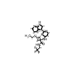 CCSN1CC(Nc2ccnc(-c3c[nH]c4ncccc34)n2)(C(=O)NCC(F)(F)F)C1